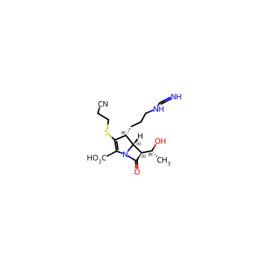 C[C@@H](O)[C@H]1C(=O)N2C(C(=O)O)=C(SCCC#N)[C@H](CCCNC=N)[C@H]12